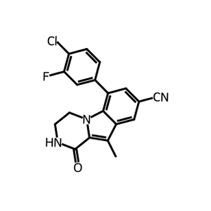 Cc1c2n(c3c(-c4ccc(Cl)c(F)c4)cc(C#N)cc13)CCNC2=O